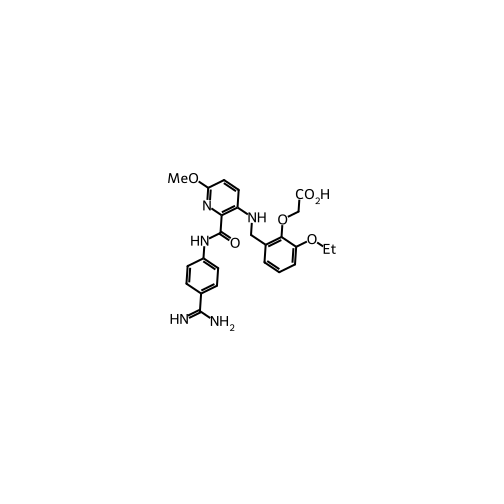 CCOc1cccc(CNc2ccc(OC)nc2C(=O)Nc2ccc(C(=N)N)cc2)c1OCC(=O)O